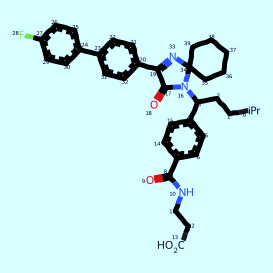 CC(C)CCC(c1ccc(C(=O)NCCC(=O)O)cc1)N1C(=O)C(c2ccc(-c3ccc(F)cc3)cc2)=NC12CCCCC2